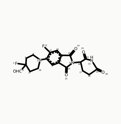 O=CC1(F)CCN(c2cc3c(cc2F)C(=O)N(C2CCC(=O)NC2=O)C3=O)CC1